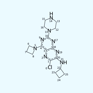 Clc1nc2c(N3CCC3)nc(N3CCNCC3)nc2nc1NC1CCC1